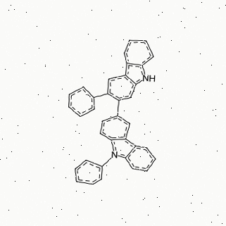 c1ccc(-c2cc3c(cc2-c2ccc4c(c2)c2ccccc2n4-c2ccccc2)[nH]c2ccccc23)cc1